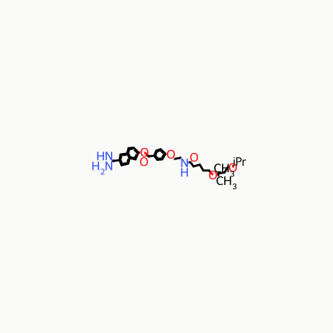 CC(C)OCCC(C)(C)OCCCCC(=O)NCCOc1ccc(C(=O)Oc2ccc3cc(C(=N)N)ccc3c2)cc1